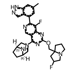 Cc1cc(-c2ncc3c(N4C[C@H]5CC[C@@H](C4)N5)nc(OCC45CCCN4CC(F)C5)nc3c2F)c2cn[nH]c2c1